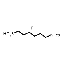 CCCCCCCCCCCCS(=O)(=O)O.F